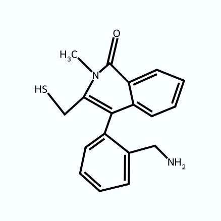 Cn1c(CS)c(-c2ccccc2CN)c2ccccc2c1=O